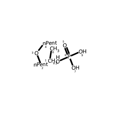 CC.CCCCCOCCCCC.O=P(O)(O)O